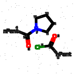 CCCCCC(=O)Cl.CCCCCC(=O)N1CCCC1